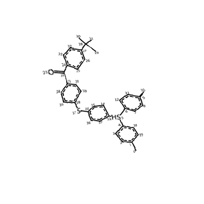 Cc1ccc([SH](c2ccc(C)cc2)c2ccc(Sc3ccc(C(=O)c4ccc(C(C)(C)C)cc4)cc3)cc2)cc1